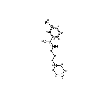 O=C(NCCCN1CCOCC1)c1cccc(Br)c1